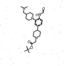 CN(C)CC1CCN(c2cc(C3CCN(CC(=O)OC(C)(C)C)CC3)ccc2NC=O)CC1